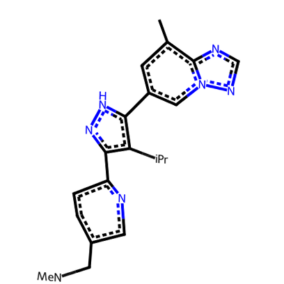 CNCc1ccc(-c2n[nH]c(-c3cc(C)c4ncnn4c3)c2C(C)C)nc1